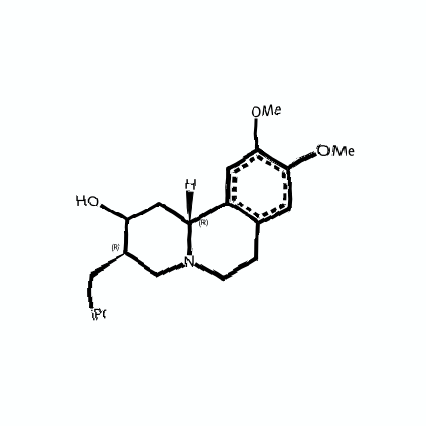 COc1cc2c(cc1OC)[C@H]1CC(O)[C@H](CC(C)C)CN1CC2